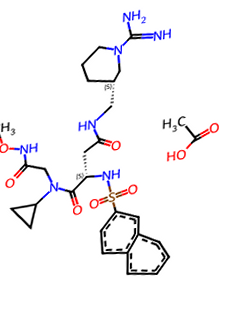 CC(=O)O.CONC(=O)CN(C(=O)[C@H](CC(=O)NC[C@@H]1CCCN(C(=N)N)C1)NS(=O)(=O)c1ccc2ccccc2c1)C1CC1